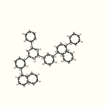 c1ccc(-c2nc(-c3cccc(-c4cccc5ccccc45)c3)nc(-c3cccc(-c4ccc(-c5ccccc5)c5ccccc45)c3)n2)cc1